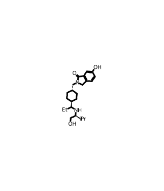 CCC(N[C@H](CO)C(C)C)[C@H]1CC[C@H](CN2Cc3ccc(O)cc3C2=O)CC1